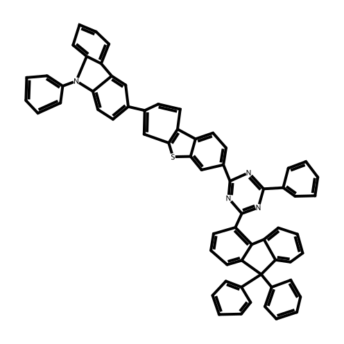 c1ccc(-c2nc(-c3ccc4c(c3)sc3cc(-c5ccc6c(c5)c5ccccc5n6-c5ccccc5)ccc34)nc(-c3cccc4c3-c3ccccc3C4(c3ccccc3)c3ccccc3)n2)cc1